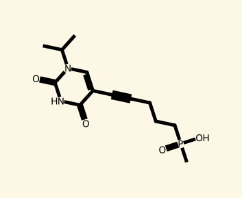 CC(C)n1cc(C#CCCCP(C)(=O)O)c(=O)[nH]c1=O